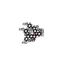 O=c1cc(-c2ccc(O)c(O)c2-c2c(O)cc3oc(-c4ccc(O)c(O)c4-c4c(O)cc5oc(-c6ccc(O)cc6)cc(=O)c5c4O)cc(=O)c3c2O)oc2cc(O)cc(O)c12